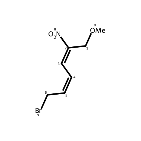 COC/C(=C\C=C/CBr)[N+](=O)[O-]